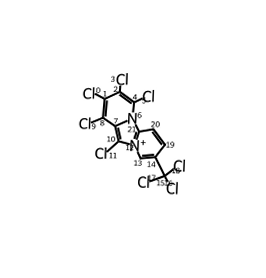 Clc1c(Cl)c(Cl)n2c(c1Cl)c(Cl)[n+]1cc(C(Cl)(Cl)Cl)ccc21